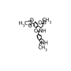 CC[C@@H]1NCc2cc(C(=O)NC(CC(=O)OC)c3ccc(S(=O)(=O)CC)cc3)ccc21